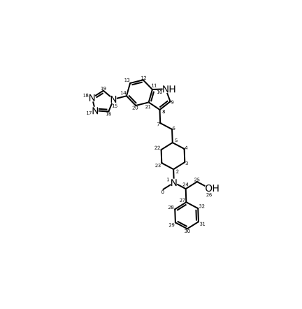 CN(C1CCC(CCc2c[nH]c3ccc(-n4cnnc4)cc23)CC1)C(CO)c1ccccc1